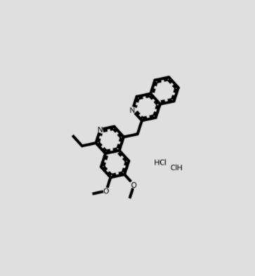 CCc1ncc(Cc2cc3ccccc3cn2)c2cc(OC)c(OC)cc12.Cl.Cl